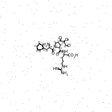 N=C(N)NCCCC(NC(=O)[C@@H]1CCCN1C(=O)C(N)Cc1ccccc1)C(=O)O.O=C(CCl)CCl